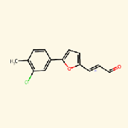 Cc1ccc(-c2ccc(/C=C/C=O)o2)cc1Cl